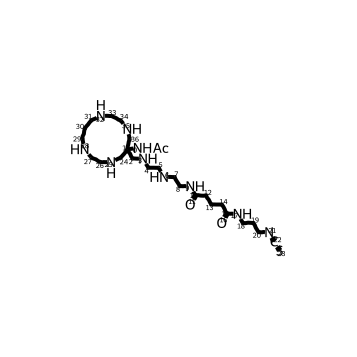 CC(=O)NC1(CNCCNCCNC(=O)CCCC(=O)NCCCN=C=S)CNCCNCCCNCCNC1